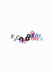 NC(=O)N(O)C1CCc2cc(Oc3ccc(C(F)(F)F)cn3)ccc21